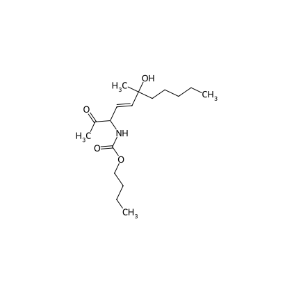 CCCCCC(C)(O)/C=C/C(NC(=O)OCCCC)C(C)=O